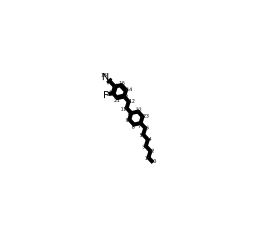 CCCCCCCC1CCC(CCc2ccc(C#N)c(F)c2)CC1